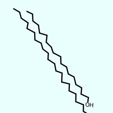 CCCCCCCCCCCCCCCCCCCCCC.CCCCCCCCCCCCCCCCCCO